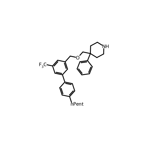 CCCCCc1ccc(-c2cc(COCC3(c4ccccc4)CCNCC3)cc(C(F)(F)F)c2)cc1